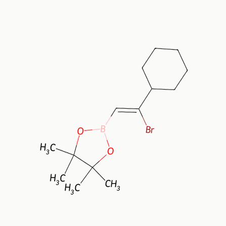 CC1(C)OB(/C=C(\Br)C2CCCCC2)OC1(C)C